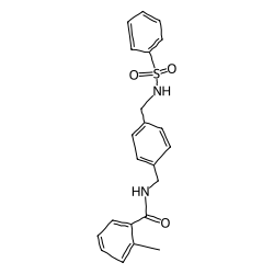 Cc1ccccc1C(=O)NCc1ccc(CNS(=O)(=O)c2ccccc2)cc1